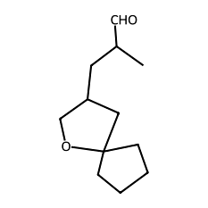 CC(C=O)CC1COC2(CCCC2)C1